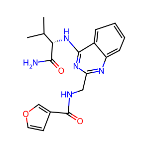 CC(C)[C@H](Nc1nc(CNC(=O)c2ccoc2)nc2ccccc12)C(N)=O